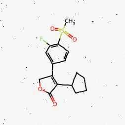 CS(=O)(=O)c1ccc(C2=C(C3CCCC3)C(=O)OC2)cc1F